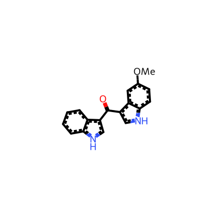 COc1ccc2[nH]cc(C(=O)c3c[nH]c4ccccc34)c2c1